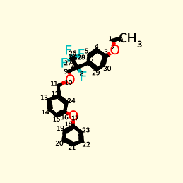 CCOc1ccc(C(F)(COCc2cccc(Oc3ccccc3)c2)C(F)(F)F)cc1